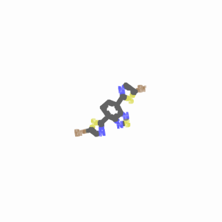 Brc1cnc(-c2ccc(-c3ncc(Br)s3)c3nsnc23)s1